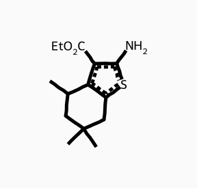 CCOC(=O)c1c(N)sc2c1C(C)CC(C)(C)C2